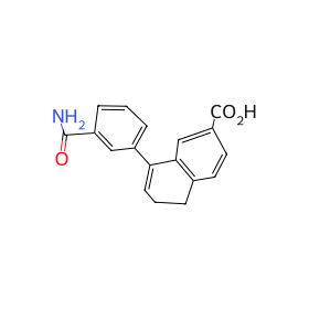 NC(=O)c1cccc(C2=CCCc3ccc(C(=O)O)cc32)c1